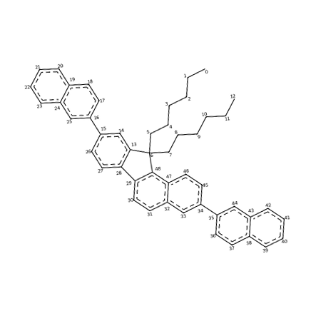 CCCCCCC1(CCCCCC)c2cc(-c3ccc4ccccc4c3)ccc2-c2ccc3cc(-c4ccc5ccccc5c4)ccc3c21